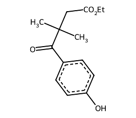 CCOC(=O)CC(C)(C)C(=O)c1ccc(O)cc1